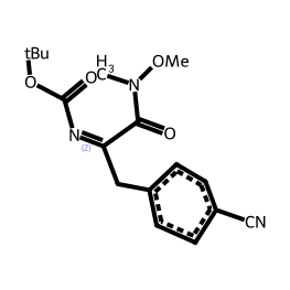 CON(C)C(=O)/C(Cc1ccc(C#N)cc1)=N\C(=O)OC(C)(C)C